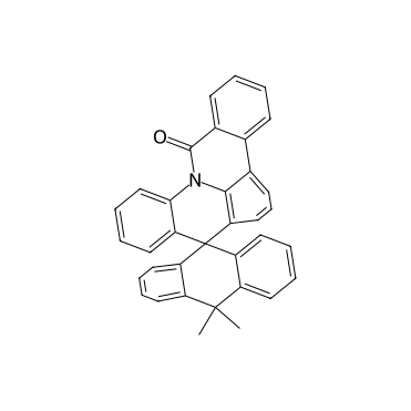 CC1(C)c2ccccc2C2(c3ccccc3-n3c(=O)c4ccccc4c4cccc2c43)c2ccccc21